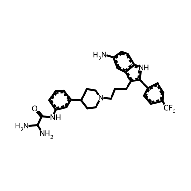 Nc1ccc2[nH]c(-c3ccc(C(F)(F)F)cc3)c(CCCN3CCC(c4cccc(NC(=O)C(N)N)c4)CC3)c2c1